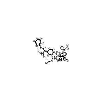 CCCCN1C=NC(CCC(=O)OC)(C(=O)OC)C1CC1CCC(C(CCc2ccccc2)N(C)C)CC1